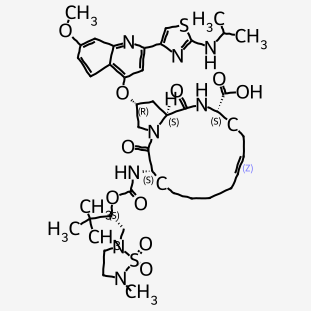 COc1ccc2c(O[C@@H]3C[C@H]4C(=O)N[C@H](C(=O)O)CC/C=C\CCCCC[C@H](NC(=O)O[C@H](CN5CCN(C)S5(=O)=O)C(C)(C)C)C(=O)N4C3)cc(-c3csc(NC(C)C)n3)nc2c1